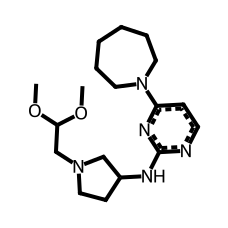 COC(CN1CCC(Nc2nccc(N3CCCCCC3)n2)C1)OC